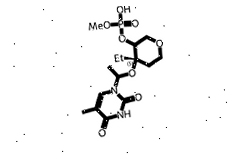 CC[C@]1(OC(C)n2cc(C)c(=O)[nH]c2=O)CCOCC1OP(=O)(O)OC